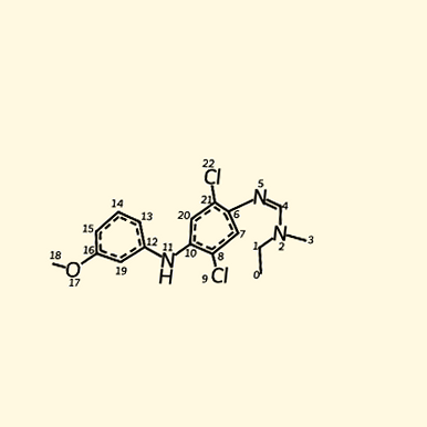 CCN(C)/C=N\c1cc(Cl)c(Nc2cccc(OC)c2)cc1Cl